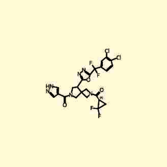 O=C(c1cn[nH]c1)N1CC(c2nnc(C(F)(F)c3ccc(Cl)c(Cl)c3)o2)C2(C1)CN(C(=O)[C@H]1CC1(F)F)C2